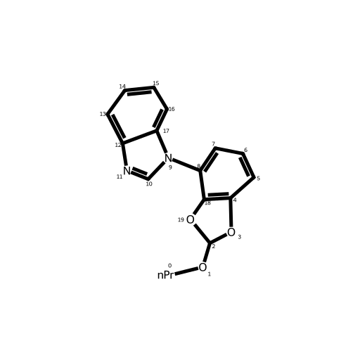 CCCOC1Oc2cccc(-n3cnc4ccccc43)c2O1